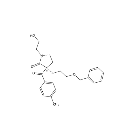 Cc1ccc(C(=O)[C@]2(CCCOCc3ccccc3)CCN(CCO)C2=O)cc1